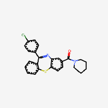 O=C(c1ccc2c(c1)N=C(c1ccc(Cl)cc1)c1ccccc1S2)N1CCCCC1